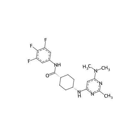 Cc1nc(N[C@H]2CC[C@@H](C(=O)Nc3cc(F)c(F)c(F)c3)CC2)cc(N(C)C)n1